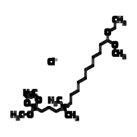 CCOC(CCCCCCCCCC[N+](C)(C)CCC[Si](OC)(OC)OC)OC.[Cl-]